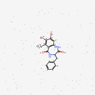 O=C1NC(Cc2ccccc2)C(=O)Nc2cc(Br)c(Br)c([N+](=O)[O-])c21